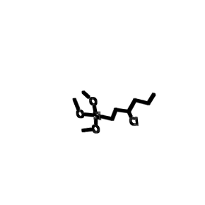 CCCC(Cl)CC[Si](OC)(OC)OC